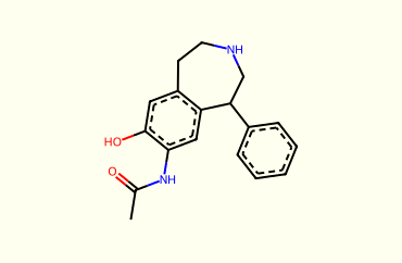 CC(=O)Nc1cc2c(cc1O)CCNCC2c1ccccc1